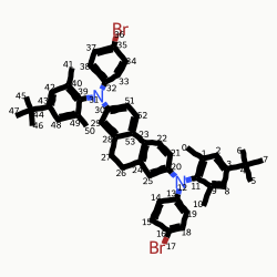 Cc1cc(C(C)(C)C)cc(C)c1N(c1ccc(Br)cc1)c1ccc2c(c1)CCc1cc(N(c3ccc(Br)cc3)c3c(C)cc(C(C)(C)C)cc3C)ccc1-2